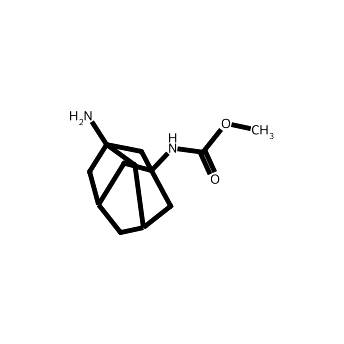 COC(=O)NC12CC3CC(CC(N)(C3)C1)C2